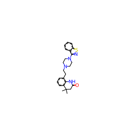 CC1(C)CC(=O)Nc2c(CCN3CCN(c4nsc5ccccc45)CC3)cccc21